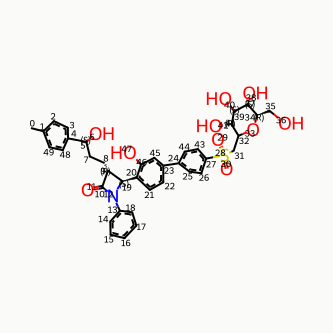 Cc1ccc([C@@H](O)CC[C@H]2C(=O)N(c3ccccc3)[C@@H]2c2ccc(-c3ccc(S(=O)(=O)CC4O[C@H](CO)[C@@H](O)[C@H](O)[C@H]4O)cc3)cc2O)cc1